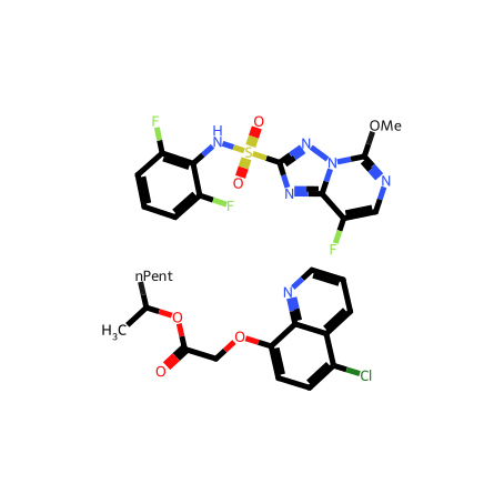 CCCCCC(C)OC(=O)COc1ccc(Cl)c2cccnc12.COc1ncc(F)c2nc(S(=O)(=O)Nc3c(F)cccc3F)nn12